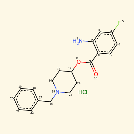 Cl.Nc1cc(F)ccc1C(=O)OC1CCN(Cc2ccccc2)CC1